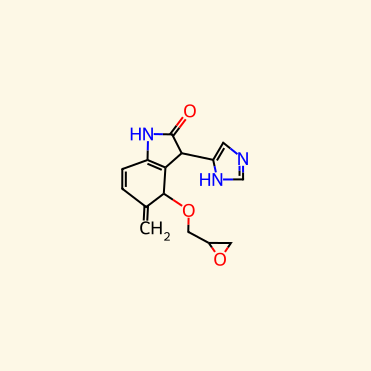 C=C1C=CC2=C(C1OCC1CO1)C(c1cnc[nH]1)C(=O)N2